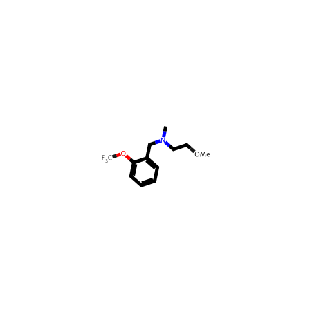 COCCN(C)Cc1ccccc1OC(F)(F)F